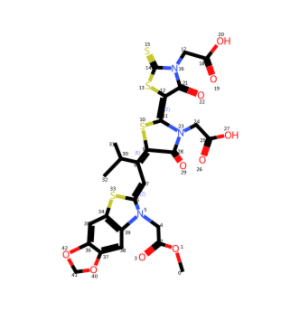 COC(=O)CN1/C(=C/C(=c2/s/c(=C3\SC(=S)N(CC(=O)O)C3=O)n(CC(=O)O)c2=O)C(C)C)Sc2cc3c(cc21)OCO3